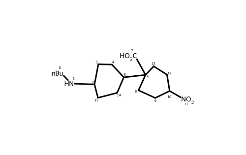 CCCCNC1CCC(C2(C(=O)O)CCC([N+](=O)[O-])CC2)CC1